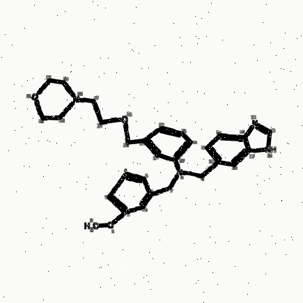 COc1cccc(CN(Cc2ccc3nc[nH]c3c2)c2cccc(COCCN3CCOCC3)c2)c1